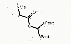 CCCCCC(CCCCC)OC(=O)CNC